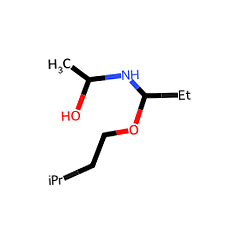 CCC(NC(C)O)OCCC(C)C